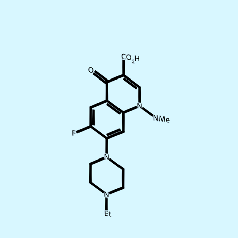 CCN1CCN(c2cc3c(cc2F)c(=O)c(C(=O)O)cn3NC)CC1